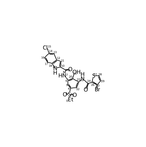 CCS(=O)(=O)c1cc(NC(=O)c2cc3cc(Cl)ccc3[nH]2)c(O)c(NC(=O)c2sccc2Br)c1